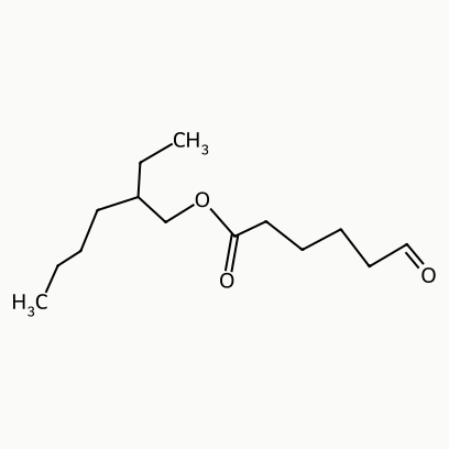 CCCCC(CC)COC(=O)CCCCC=O